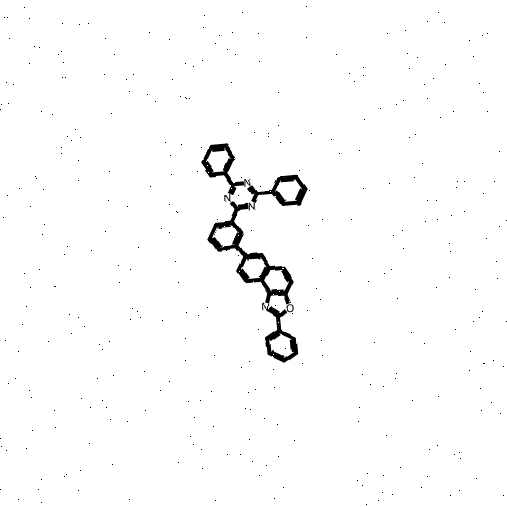 c1ccc(-c2nc(-c3ccccc3)nc(-c3cccc(-c4ccc5c(ccc6oc(-c7ccccc7)nc65)c4)c3)n2)cc1